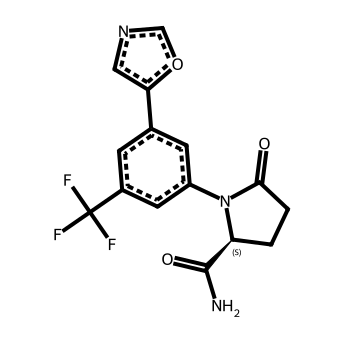 NC(=O)[C@@H]1CCC(=O)N1c1cc(-c2cnco2)cc(C(F)(F)F)c1